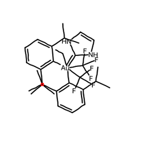 C[CH2][Au]([c]1c(C(C)C)cccc1C(C)C)([c]1c(C(C)C)cccc1C(C)C)(=[c]1[nH]cc[nH]1)([C](F)(F)F)[C](F)(F)F